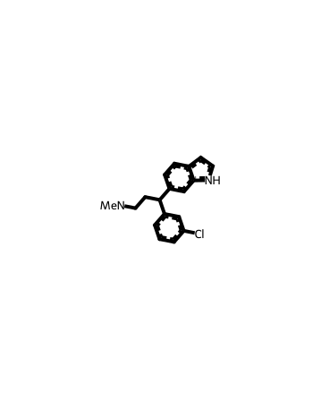 CNCCC(c1cccc(Cl)c1)c1ccc2cc[nH]c2c1